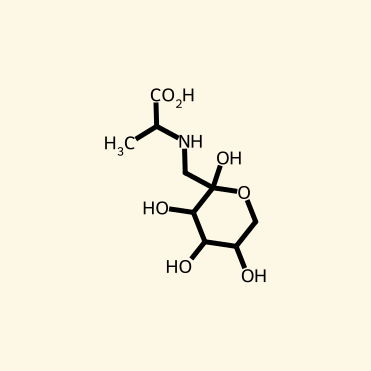 CC(NCC1(O)OCC(O)C(O)C1O)C(=O)O